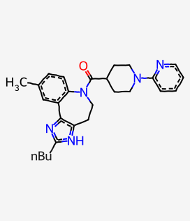 CCCCc1nc2c([nH]1)CCN(C(=O)C1CCN(c3ccccn3)CC1)c1ccc(C)cc1-2